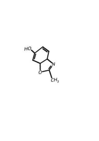 CC1=NC2C=CC(O)=CC2O1